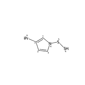 CC(C)c1ccn(SS)c1